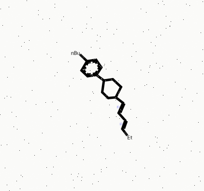 CC/C=C/C=C/C1CCC(c2ccc(CCCC)cc2)CC1